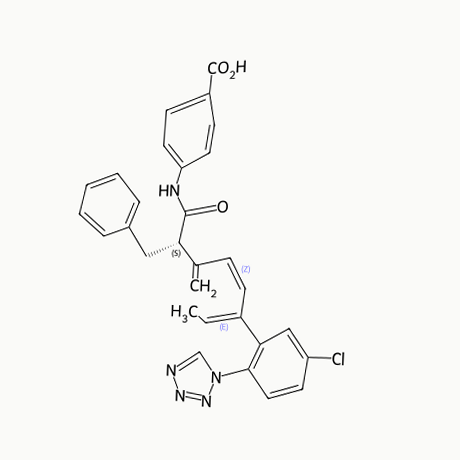 C=C(/C=C\C(=C/C)c1cc(Cl)ccc1-n1cnnn1)[C@H](Cc1ccccc1)C(=O)Nc1ccc(C(=O)O)cc1